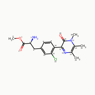 COC(=O)[C@@H](N)Cc1ccc(-c2nc(C)c(C)n(C)c2=O)c(Cl)c1